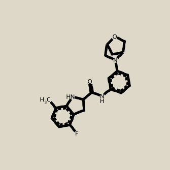 Cc1ccc(F)c2c1NC(C(=O)Nc1cccc(N3CC4CC3CO4)c1)C2